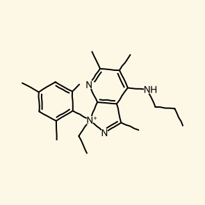 CCCNc1c(C)c(C)nc2c1C(C)=N[N+]2(CC)c1c(C)cc(C)cc1C